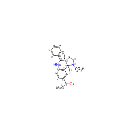 CNC(=O)c1ccc2c(c1)[C@@H]1[C@@H](CCN1C(=O)O)C(c1ccccc1)N2